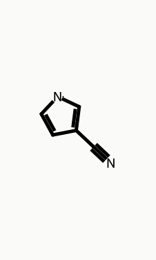 N#CC1=C[N]C=C1